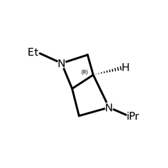 CCN1C[C@@H]2C1CN2C(C)C